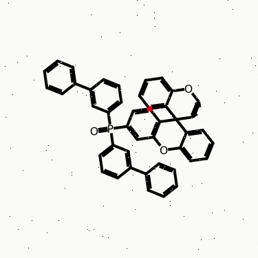 O=P(c1cccc(-c2ccccc2)c1)(c1cccc(-c2ccccc2)c1)c1ccc2c(c1)Oc1ccccc1C21c2ccccc2Oc2ccccc21